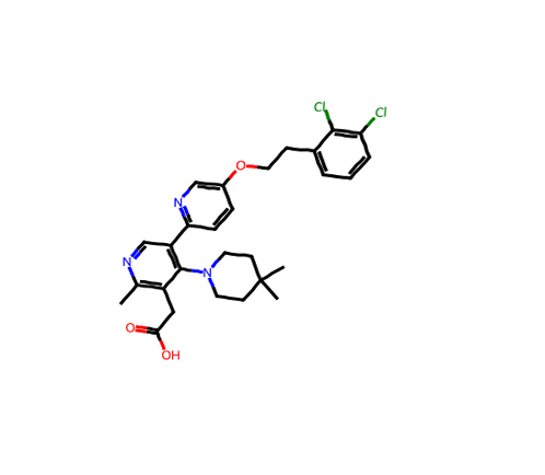 Cc1ncc(-c2ccc(OCCc3cccc(Cl)c3Cl)cn2)c(N2CCC(C)(C)CC2)c1CC(=O)O